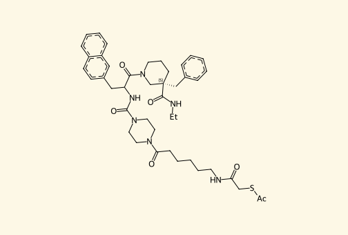 CCNC(=O)[C@]1(Cc2ccccc2)CCCN(C(=O)C(Cc2ccc3ccccc3c2)NC(=O)N2CCN(C(=O)CCCCCNC(=O)CSC(C)=O)CC2)C1